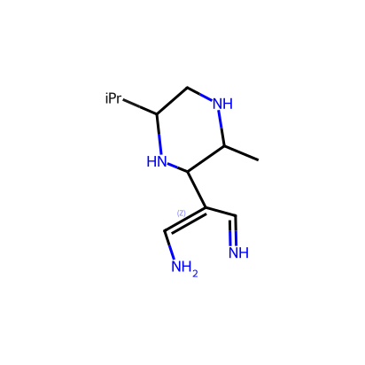 CC(C)C1CNC(C)C(/C(C=N)=C/N)N1